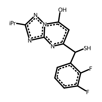 CC(C)c1nc2nc(C(S)c3cccc(F)c3F)cc(O)n2n1